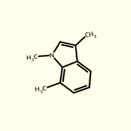 Cc1cn(C)c2c(C)cccc12